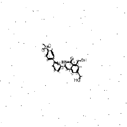 CS(=O)(=O)c1ccc(-c2cccc(-c3cc4cc(CO)cc(CO)c4c(=O)[nH]3)n2)cc1